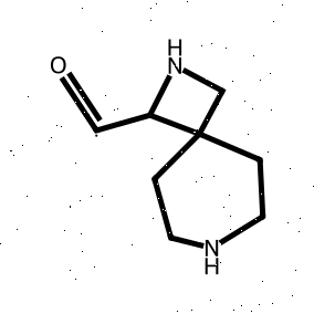 O=[C]C1NCC12CCNCC2